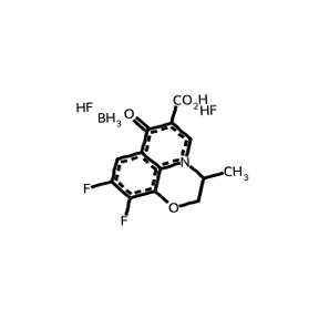 B.CC1COc2c(F)c(F)cc3c(=O)c(C(=O)O)cn1c23.F.F